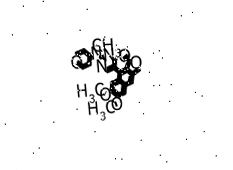 COc1cc2cc3c(c(-c4cnc(N(C)C5CCOCC5)nc4)c2cc1OC)C(=O)OC3